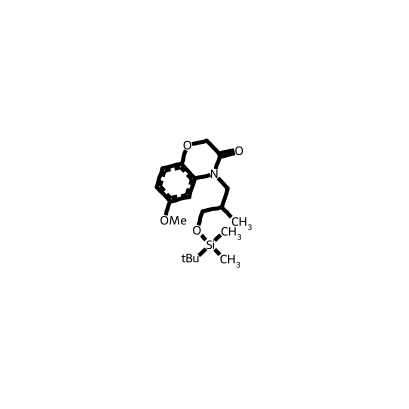 COc1ccc2c(c1)N(CC(C)CO[Si](C)(C)C(C)(C)C)C(=O)CO2